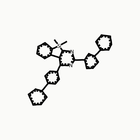 C[Si]1(C)c2ccccc2-c2c(-c3ccc(-c4ccccc4)cc3)nc(-c3cccc(-c4ccccc4)c3)nc21